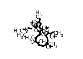 CCC(O)CCC(C)(O)C(OC(=O)N(C)CCN(CC)CC)/C1=C/C(C)C(=O)/C(C)=C/C=C/C(C)(O)CCC(C(C)C(O)CC)O1